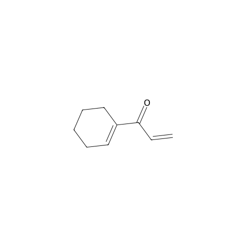 C=CC(=O)C1=CCCCC1